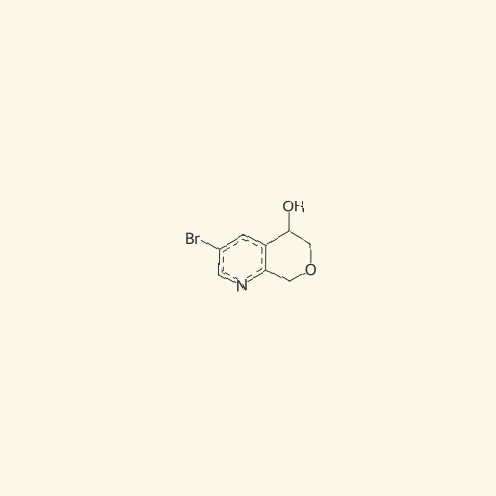 OC1COCc2ncc(Br)cc21